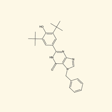 CC(C)(C)c1cc(-c2nc3ncn(Cc4ccccc4)c3c(=O)[nH]2)cc(C(C)(C)C)c1O